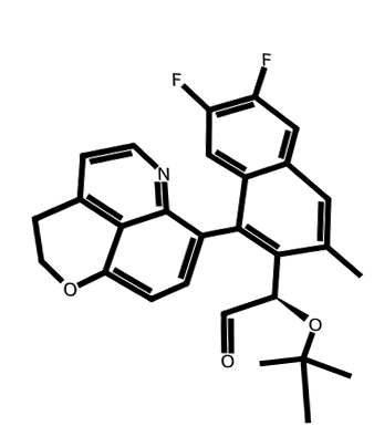 Cc1cc2cc(F)c(F)cc2c(-c2ccc3c4c(ccnc24)CCO3)c1[C@H](C=O)OC(C)(C)C